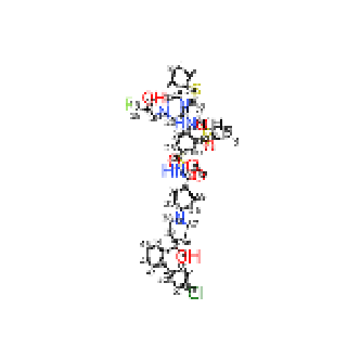 CC(C[C@@H](Sc1ccccc1)N1CCN(C[C@@H](O)CF)CC1)Nc1ccc(S(=O)(=O)NC(=O)c2ccc(N3CCC(C(O)c4ccccc4-c4ccc(Cl)cc4)CC3)cc2)cc1S(=O)(=O)C(F)(F)F